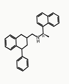 C[C@@H](NCC1Cc2ccccc2C(c2ccccc2)C1)c1cccc2ccccc12